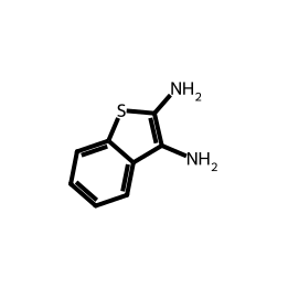 Nc1sc2ccccc2c1N